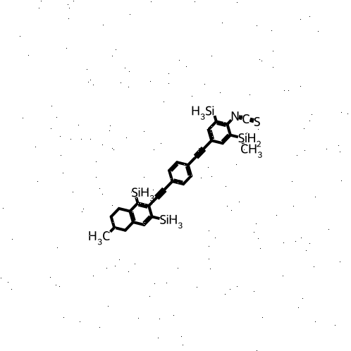 C[SiH2]c1cc(C#Cc2ccc(C#Cc3c([SiH3])cc4c(c3[SiH3])CCC(C)C4)cc2)cc([SiH3])c1N=C=S